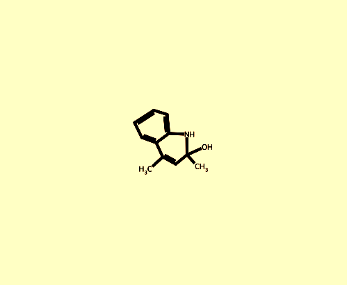 CC1=CC(C)(O)Nc2ccccc21